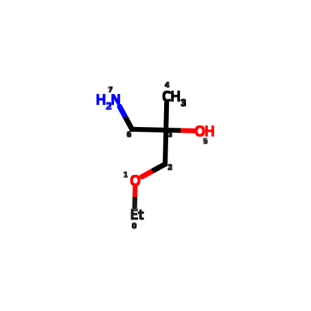 CCOCC(C)(O)CN